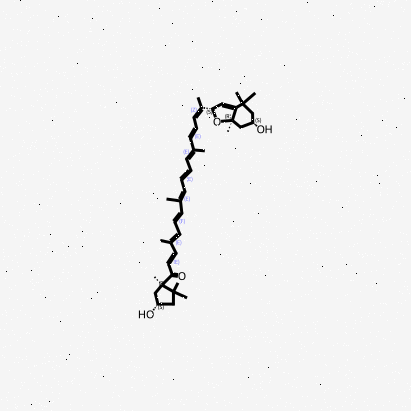 C/C(=C/C=C/C(C)=C/C=C/C=C(C)/C=C/C=C(C)/C=C/C(=O)[C@]1(C)C[C@@H](O)CC1(C)C)[C@@H]1C=C2C(C)(C)C[C@H](O)C[C@@]2(C)O1